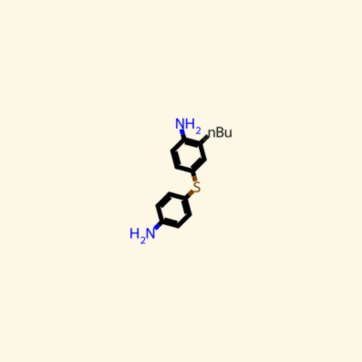 CCCCc1cc(Sc2ccc(N)cc2)ccc1N